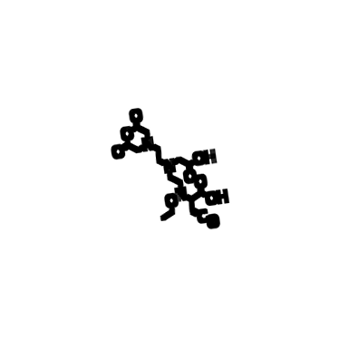 CCON(CCN(CCN1CC(=O)OC(=O)C1)CC(=O)O)C(C=C=O)C(=O)O